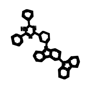 C1=C(C2=NC(c3ccccc3)NC(c3ccccc3)=N2)CCC=C1n1c2ccccc2c2cc(-n3c4ccccc4c4ccccc43)ccc21